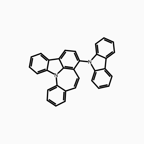 C1=Cc2c(-n3c4ccccc4c4ccccc43)ccc3c4ccccc4n(c23)-c2ccccc21